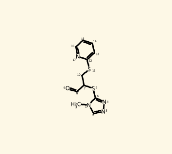 Cn1cnnc1SC([C]=O)CSc1ccccn1